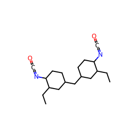 CCC1CC(CC2CCC(N=C=O)C(CC)C2)CCC1N=C=O